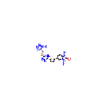 O=c1[nH]c2ccc(-c3ccc(-c4nnc(SCc5nnn[nH]5)[nH]4)o3)cc2[nH]1